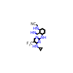 N#CCNc1cccc(Nc2ncc(C(F)(F)F)c(NC3CC3)n2)c1C=N